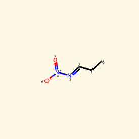 [CH2]CC=N[N+](=O)[O-]